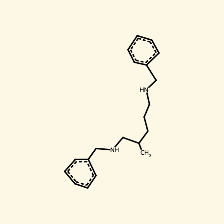 CC(CCCNCc1ccccc1)CNCc1ccccc1